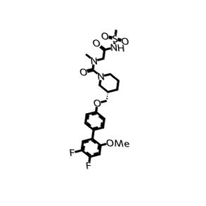 COc1cc(F)c(F)cc1-c1ccc(OC[C@H]2CCCN(C(=O)N(C)CC(=O)NS(C)(=O)=O)C2)cc1